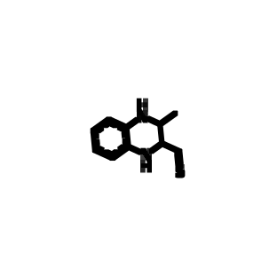 CC1Nc2ccccc2NC1C=S